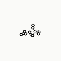 CC1(c2ccccc2)N=C(c2ccc3ccccc3c2)N=C(c2cccc3oc4c(-c5ccc6c7c(cccc57)-c5ccccc5-6)cccc4c23)N1